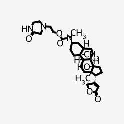 CN(C(=O)OCCN1CCNC(=O)C1)[C@H]1CC[C@@]2(C)[C@H](CC[C@@H]3[C@@H]2CC[C@]2(C)[C@@H](C4=CC(=O)OC4)CC[C@]32O)C1